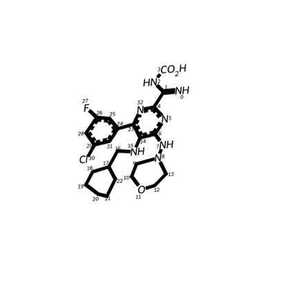 N=C(NC(=O)O)c1nc(NN2CCOCC2)c(NCC2CCCCC2)c(-c2cc(F)cc(Cl)c2)n1